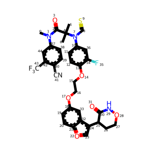 CN(C(=O)C(C)(C)N(C=S)c1ccc(OCCOc2ccc3occ(C4CCONC4=O)c3c2)c(F)c1)c1ccc(C#N)c(C(F)(F)F)c1